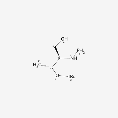 C[C@@H](OC(C)(C)C)[C@@H](CO)NP